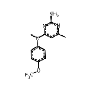 Cc1cc(N(C)c2ccc(OC(F)(F)F)cc2)nc(N)n1